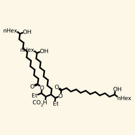 CCCCCCC(O)CCCCCCCCCCC(=O)OC(CC)C(CCCCCCCCC(O)CCCCCC)C(C(=O)O)C(CC)OC(=O)CCCCCCCCCCC(O)CCCCCC